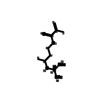 C=C(C)C(=O)OCCC(C)O[SiH](OC(C)=O)OC(C)=O